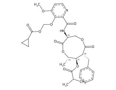 COc1ccnc(C(=O)N[C@H]2COC(=O)[C@H](Cc3ccccc3)[C@@H](OC(=O)C(C)C)[C@H](C)OC2=O)c1OCOC(=O)C1CC1